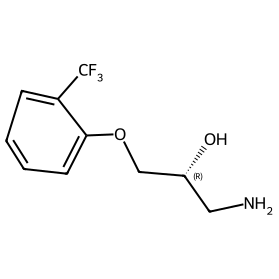 NC[C@@H](O)COc1ccccc1C(F)(F)F